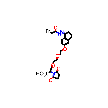 CC(C)CC(=O)N/N=C1/CCCc2cc(OCCOCCOCC(C(=O)O)N3C(=O)CCC3=O)ccc21